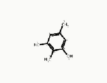 Cc1cc(O)c(C)c(C#N)c1